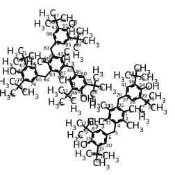 Cc1c(C)c(Cc2cc(C(C)(C)C)c(O)c(C(C)(C)C)c2)c(C)c(C)c1Cc1cc(C(C)(C)C)c(O)c(C(C)(C)C)c1.Cc1c(Cc2cc(C(C)(C)C)c(O)c(C(C)(C)C)c2)c(C)c(Cc2cc(C(C)(C)C)c(O)c(C(C)(C)C)c2)c(C)c1Cc1cc(C(C)(C)C)c(O)c(C(C)(C)C)c1